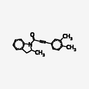 Cc1ccc(C#CC(=O)N2c3ccccc3CC2C)cc1C